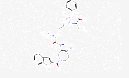 CC(NP(=O)(OCCON(C)C(=O)c1n[nH]c2c1CN(C(=O)c1cc3ccccc3[nH]1)CC2)Oc1ccccc1)C(=O)O